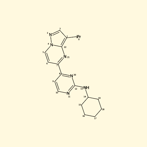 CC(C)c1cnn2ccc(-c3ccnc(NC4CCCCC4)n3)nc12